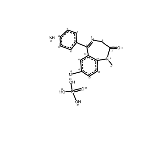 CN1C(=O)CN=C(c2ccccc2)c2cc(Cl)ccc21.O=P(O)(O)O.[KH]